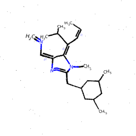 C=N/C=c1/nc(CC2CC(C)CC(C)C2)n(C)/c1=C(\C=C/C)C(C)C